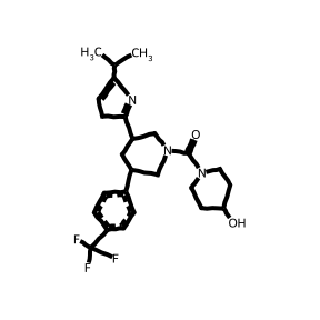 CC(C)C1=CCC(C2CC(c3ccc(C(F)(F)F)cc3)CN(C(=O)N3CCC(O)CC3)C2)=N1